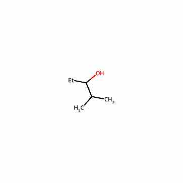 [CH2]CC(O)C(C)C